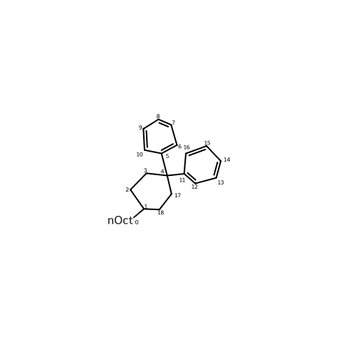 CCCCCCCCC1CCC(c2ccccc2)(c2ccccc2)CC1